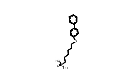 O=P(O)(O)CCCCCCOc1ccc(-c2ccccc2)cc1